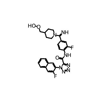 N=C(c1ccc(NC(=O)c2nnnn2-c2cc3ccccc3cc2F)c(F)c1)N1CCC(COO)CC1